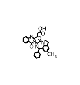 Cc1cc2c3c(c1)C(c1ccccc1)=NC(n1c(CCC(=O)O)nc4ccccc4c1=O)C(=O)N3CC2